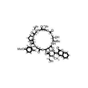 CC[C@H](C)[C@H]1NC(=O)[C@@H](NC(=O)[C@@H](CC(C)C)N(C)C(=O)c2cc3ccccc3oc2=O)[C@@H](C)OC(=O)[C@H](Cc2ccc(OC)cc2)N(C)C(=O)[C@@H]2CCCN2C(=O)[C@H](CC(C)C)NC(=O)[C@H](C(C)C)OC(=O)C[C@@H]1O